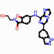 O=c1c2ccc(Nc3nc(-c4ccc5cn[nH]c5c4)cn4ccnc34)cc2on1CCO